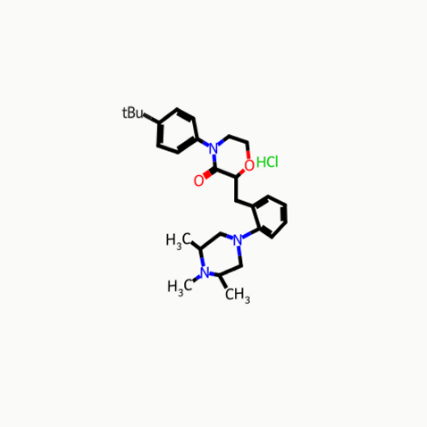 CC1CN(c2ccccc2CC2OCCN(c3ccc(C(C)(C)C)cc3)C2=O)CC(C)N1C.Cl